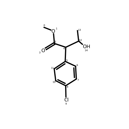 COC(=O)C(c1ccc(Cl)cc1)C(C)O